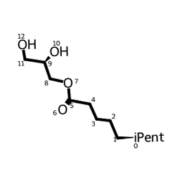 CCC[C@H](C)CCCCC(=O)OC[C@H](O)CO